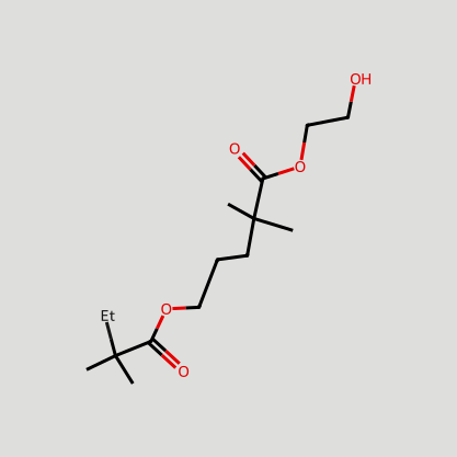 CCC(C)(C)C(=O)OCCCC(C)(C)C(=O)OCCO